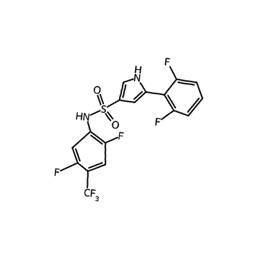 O=S(=O)(Nc1cc(F)c(C(F)(F)F)cc1F)c1c[nH]c(-c2c(F)cccc2F)c1